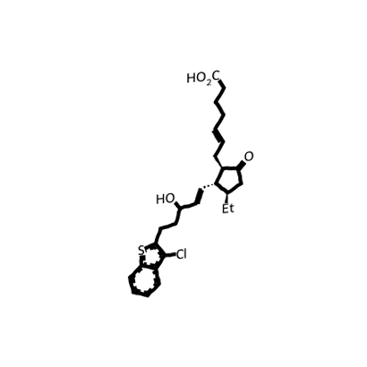 CC[C@@H]1CC(=O)[C@H](CC=CCCCC(=O)O)[C@H]1C=CC(O)CCc1sc2ccccc2c1Cl